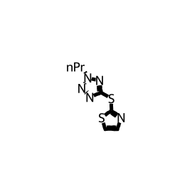 CCCn1nnc(Sc2nccs2)n1